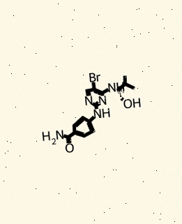 CC(C)[C@H](CO)Nc1nc(Nc2ccc(C(N)=O)cc2)ncc1Br